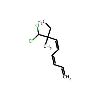 C=C/C=C\C=C/C(C)(CC)C(Cl)Cl